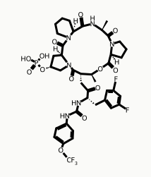 C[C@@H]1NC(=O)[C@@H]2CCCCN2C(=O)[C@@H]2C[C@@H](OP(=O)(O)O)CN2C(=O)[C@@H](CC(=O)[C@H](Cc2cc(F)cc(F)c2)NC(=O)Nc2ccc(OC(F)(F)F)cc2)[C@H](C)OC(=O)[C@@H]2CCCN2C1=O